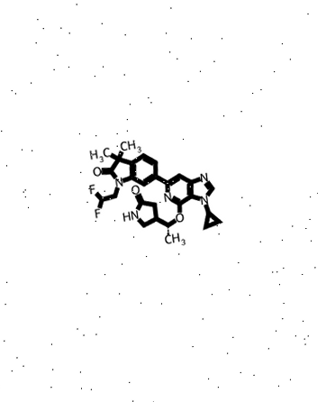 C[C@@H](Oc1nc(-c2ccc3c(c2)N(CC(F)F)C(=O)C3(C)C)cc2ncn(C3CC3)c12)C1CNC(=O)C1